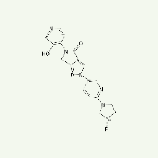 O=C1c2cn(-c3ccc(N4CC[C@H](F)C4)nc3)nc2CN1c1ccncc1O